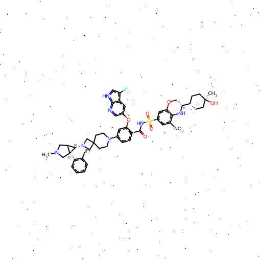 CC(C)c1ccccc1[C@]12CN(C)CC1[C@@H]2N1CC2(CCN(c3ccc(C(=O)NS(=O)(=O)c4cc5c(c([N+](=O)[O-])c4)N[C@@H]([C@H]4CC[C@](C)(O)CC4)CO5)c(Oc4cnc5[nH]cc(F)c5c4)c3)CC2)C1